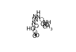 CS(=O)(=O)NC1CCC(Nc2nccc(-n3ccc4c(C5(O)CCS(=O)(=O)CC5)cccc43)n2)CC1